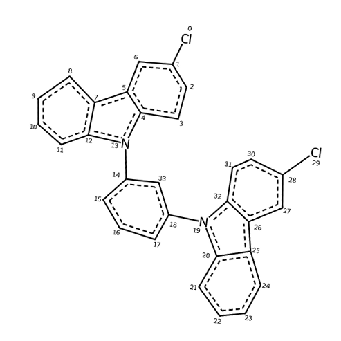 Clc1ccc2c(c1)c1ccccc1n2-c1cccc(-n2c3ccccc3c3cc(Cl)ccc32)c1